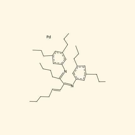 CCCCC=CC(=Nc1cc(CCC)cc(CCC)c1)C(CCCC)=Nc1cc(CCC)cc(CCC)c1.[Pd]